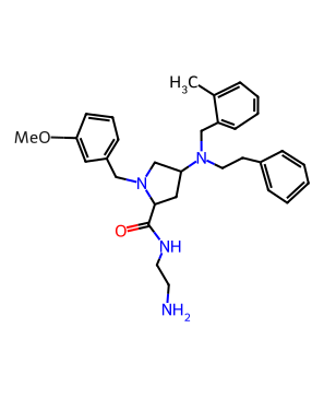 COc1cccc(CN2CC(N(CCc3ccccc3)Cc3ccccc3C)CC2C(=O)NCCN)c1